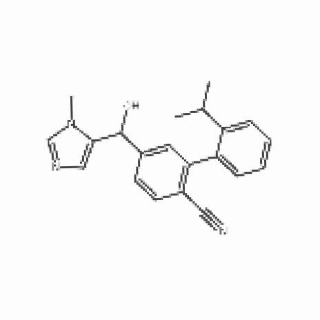 CC(C)c1ccccc1-c1cc(C(O)c2cncn2C)ccc1C#N